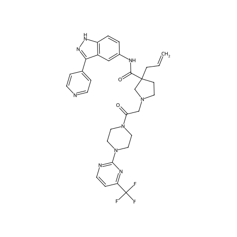 C=CCC1(C(=O)Nc2ccc3[nH]nc(-c4ccncc4)c3c2)CCN(CC(=O)N2CCN(c3nccc(C(F)(F)F)n3)CC2)C1